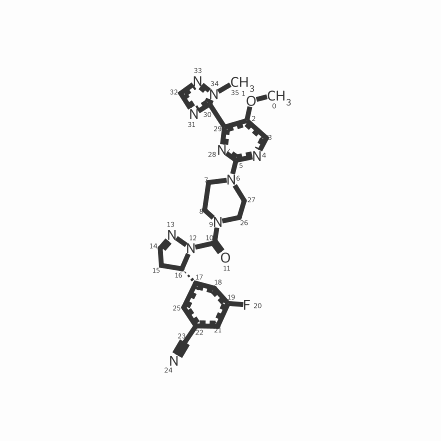 COc1cnc(N2CCN(C(=O)N3N=CC[C@H]3c3cc(F)cc(C#N)c3)CC2)nc1-c1ncnn1C